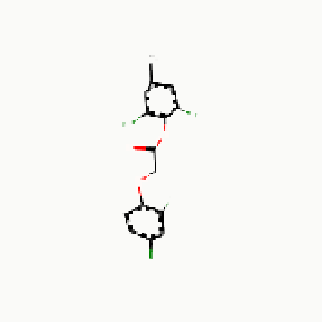 N#Cc1cc(Br)c(OC(=O)COc2ccc(Cl)cc2Cl)c(Br)c1